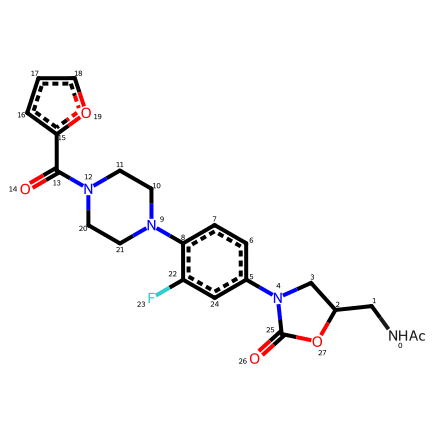 CC(=O)NCC1CN(c2ccc(N3CCN(C(=O)c4ccco4)CC3)c(F)c2)C(=O)O1